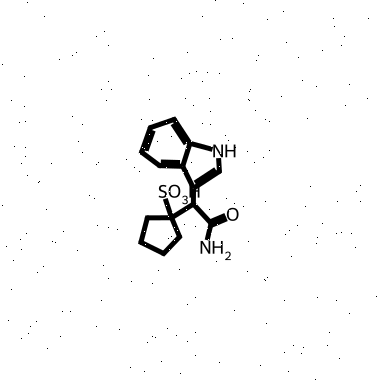 NC(=O)C(c1c[nH]c2ccccc12)C1(S(=O)(=O)O)CCCC1